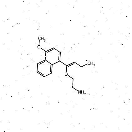 CCC=C(OCCN)c1ccc(OC)c2ccccc12